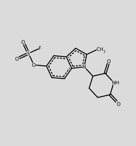 Cc1cc2cc(OS(=O)(=O)F)ccc2n1C1CCC(=O)NC1=O